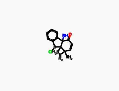 BC1(B)C=CC(=O)C2(N)c3ccccc3B(Cl)C12B